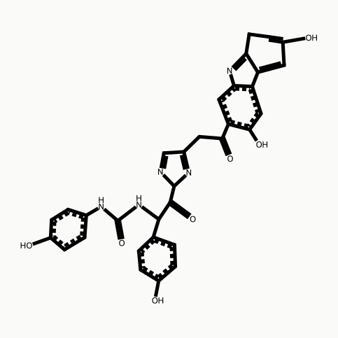 O=C(Nc1ccc(O)cc1)NC(C(=O)C1N=CC(CC(=O)c2cc3c(cc2O)C2=CC(O)=CCC2=N3)=N1)c1ccc(O)cc1